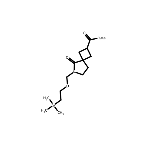 COC(=O)C1CC2(CCN(COCC[Si](C)(C)C)C2=O)C1